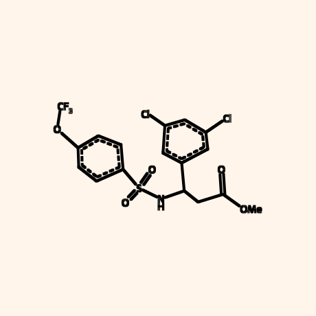 COC(=O)CC(NS(=O)(=O)c1ccc(OC(F)(F)F)cc1)c1cc(Cl)cc(Cl)c1